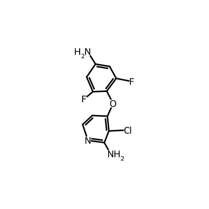 Nc1cc(F)c(Oc2ccnc(N)c2Cl)c(F)c1